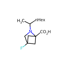 CCCCCCC(C)N1CC2(F)CC1(C(=O)O)C2